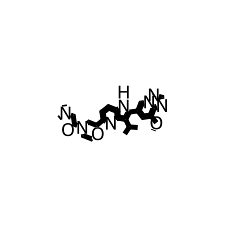 COc1cc(-c2[nH]c3ccc(C4CN(C(=O)CN(C)C)CCO4)nc3c2C(C)C)cn2ncnc12